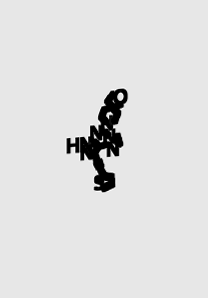 C(#Cc1n[nH]c2nc(N3CCC4(CCOC4)CC3)n3ccnc3c12)c1cccs1